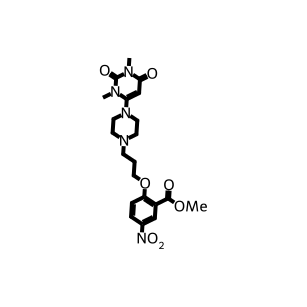 COC(=O)c1cc([N+](=O)[O-])ccc1OCCCN1CCN(c2cc(=O)n(C)c(=O)n2C)CC1